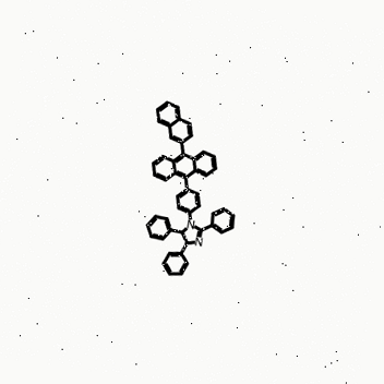 c1ccc(C2=NC(c3ccccc3)C(c3ccccc3)N2c2ccc(-c3c4ccccc4c(-c4ccc5ccccc5c4)c4ccccc34)cc2)cc1